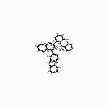 CC1(C)c2ccccc2Oc2cccc(-c3nc(-c4ccc5c(c4)oc4ccccc45)c4ccccc4n3)c21